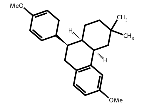 COC1=CCC([C@@H]2Cc3ccc(OC)cc3[C@@H]3CC(C)(C)CC[C@@H]32)C=C1